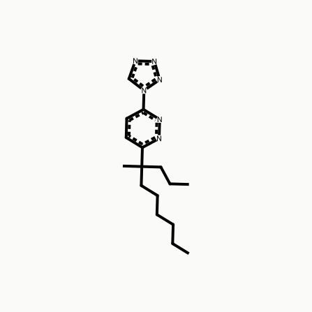 CCCCCCC(C)(CCC)c1ccc(-n2cnnn2)nn1